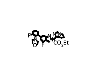 CCOC(=O)C(c1ncn2c1CCC2)n1cc2c(F)cc(-c3cccc(F)c3N3CCOCC3)cc2n1